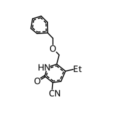 CCc1cc(C#N)c(=O)[nH]c1COCc1ccccc1